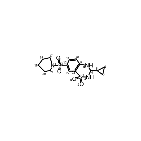 O=S1(=O)NC(C2CC2)Nc2ccc(S(=O)(=O)N3CCCCC3)cc21